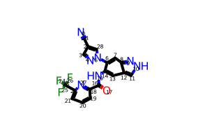 N#Cc1cnn(-c2cc3n[nH]cc3cc2NC(=O)c2cccc(C(F)(F)F)n2)c1